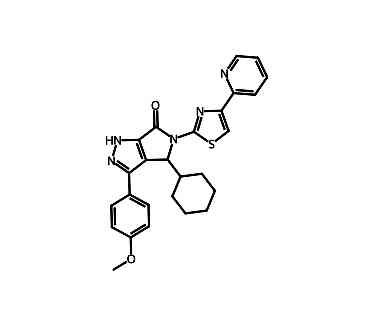 COc1ccc(-c2n[nH]c3c2C(C2CCCCC2)N(c2nc(-c4ccccn4)cs2)C3=O)cc1